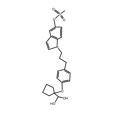 CS(=O)(=O)Oc1ccc2c(ccn2CCCc2ccc(OC3(C(O)O)CCCC3)cc2)c1